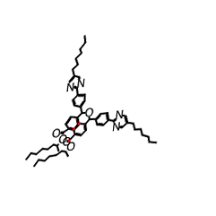 CCCCCCCc1cnc(-c2ccc(C(OC(c3ccc(C(=O)OC(C)CCCCCC)cc3)c3ccc(-c4ncc(CCCCCCC)cn4)cc3)c3ccc(C(=O)OC(C)CCCCCC)cc3)cc2)nc1